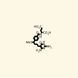 CSC(CCCc1c(N)nc(N)[nH]c1=O)c1ccc(C(=O)N[C@@H](CCC(=O)O)C(=O)O)cc1